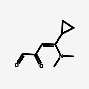 CN(C)C(=CC(=O)C=O)C1CC1